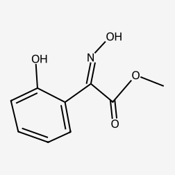 COC(=O)/C(=N\O)c1ccccc1O